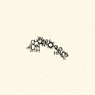 CN1CCC(Nc2c(Cl)cnc3[nH]c(-c4ccc(OCC(=O)NC5CCOCC5)cc4)nc23)CC1